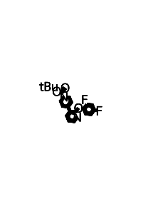 CC(C)(C)OC(=O)N1CC=C(c2cccnc2Oc2ccc(F)cc2F)CC1